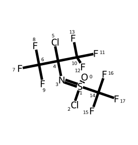 O=S(Cl)(=NC(Cl)(C(F)(F)F)C(F)(F)F)C(F)(F)F